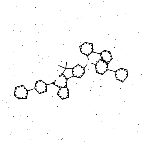 CC1(C)c2cc(N(c3ccc(-c4ccccc4)cc3)c3ccccc3-c3ccccc3)ccc2-c2c1cc(-c1ccc(-c3ccccc3)cc1)c1ccccc21